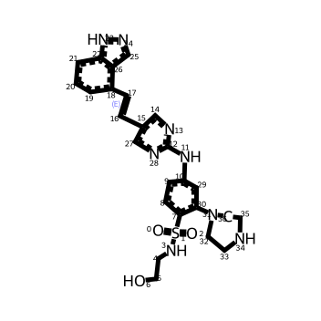 O=S(=O)(NCCO)c1ccc(Nc2ncc(/C=C/c3cccc4[nH]ncc34)cn2)cc1N1CCNCC1